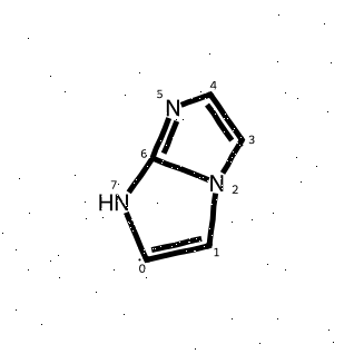 [c]1cn2[c]cnc2[nH]1